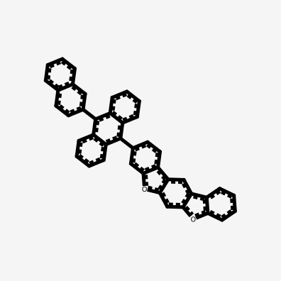 c1ccc2cc(-c3c4ccccc4c(-c4ccc5c(c4)oc4cc6oc7ccccc7c6cc45)c4ccccc34)ccc2c1